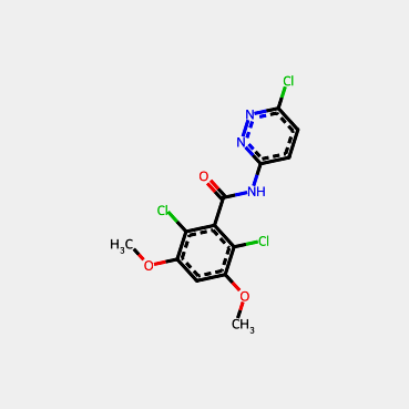 COc1cc(OC)c(Cl)c(C(=O)Nc2ccc(Cl)nn2)c1Cl